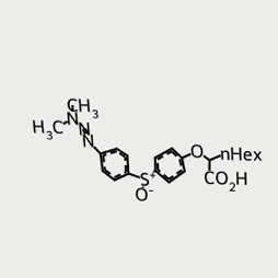 CCCCCCC(Oc1ccc([S+]([O-])c2ccc(N=NN(C)C)cc2)cc1)C(=O)O